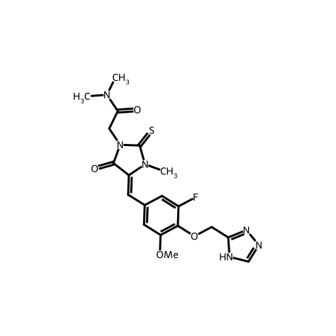 COc1cc(/C=C2/C(=O)N(CC(=O)N(C)C)C(=S)N2C)cc(F)c1OCc1nnc[nH]1